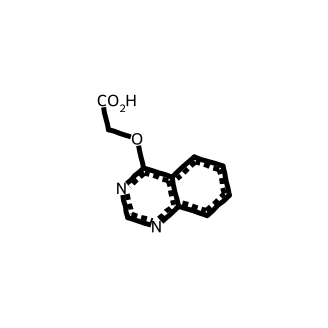 O=C(O)COc1ncnc2ccccc12